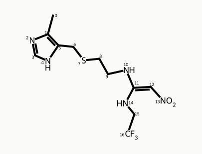 Cc1nc[nH]c1CSCCNC(=C[N+](=O)[O-])NCC(F)(F)F